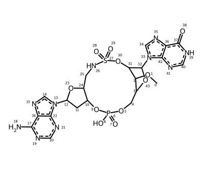 COC1C2COP(=O)(O)OC3CC(n4cnc5c(N)ncnc54)OC3CNS(=O)(=O)OC1C(n1cnc3c(=O)[nH]cnc31)O2